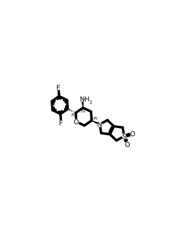 N[C@H]1C[C@@H](N2CC3=C(C2)CS(=O)(=O)C3)CO[C@@H]1c1cc(F)ccc1F